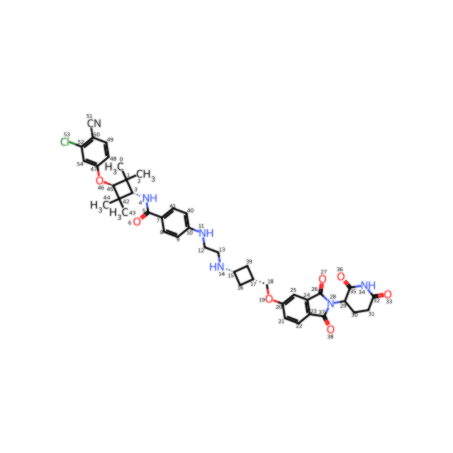 CC1(C)[C@H](NC(=O)c2ccc(NCCN[C@H]3C[C@@H](COc4ccc5c(c4)C(=O)N(C4CCC(=O)NC4=O)C5=O)C3)cc2)C(C)(C)[C@H]1Oc1ccc(C#N)c(Cl)c1